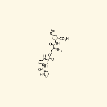 CC(=O)SC1CC(NC(=O)[C@@H](N)CCOC(=O)[C@H](CC(C)C)NC2CCC2NC(=O)[C@@H]2CCON2)C(C(=O)O)C1